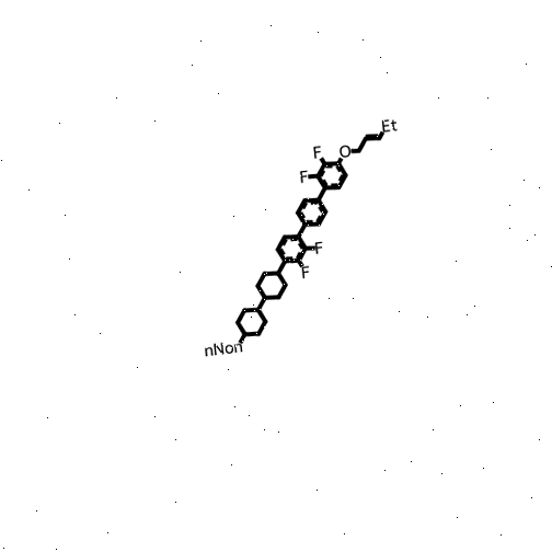 CC/C=C/COc1ccc(-c2ccc(-c3ccc(C4CCC(C5CCC(CCCCCCCCC)CC5)CC4)c(F)c3F)cc2)c(F)c1F